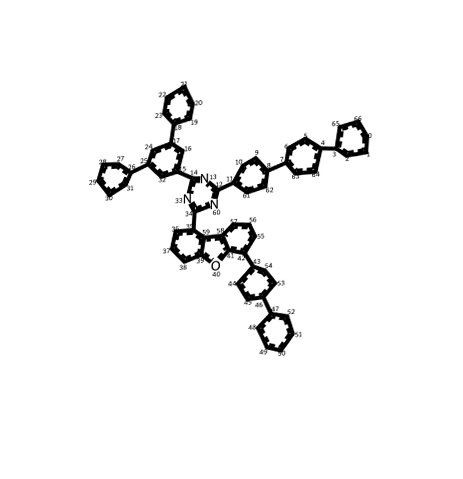 c1ccc(-c2ccc(-c3ccc(-c4nc(-c5cc(-c6ccccc6)cc(-c6ccccc6)c5)nc(-c5cccc6oc7c(-c8ccc(-c9ccccc9)cc8)cccc7c56)n4)cc3)cc2)cc1